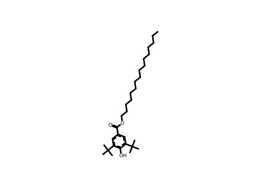 CCCCCCCCCCCCCCCCOC(=O)c1cc(C(C)(C)C)c(O)c(C(C)(C)C)c1